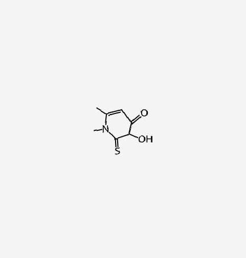 CC1=CC(=O)C(O)C(=S)N1C